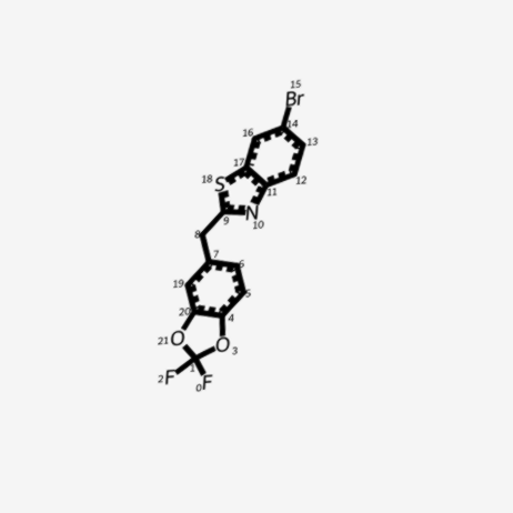 FC1(F)Oc2ccc(Cc3nc4ccc(Br)cc4s3)cc2O1